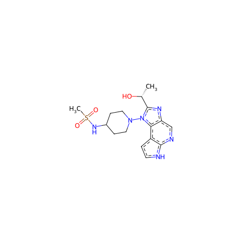 C[C@@H](O)c1nc2cnc3[nH]ccc3c2n1N1CCC(NS(C)(=O)=O)CC1